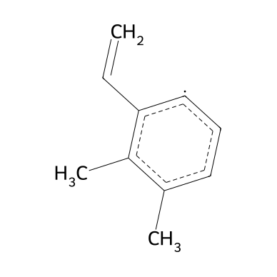 C=Cc1[c]ccc(C)c1C